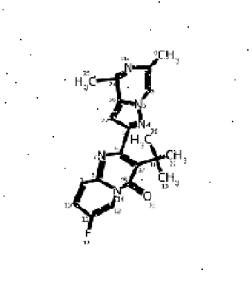 Cc1cn2nc(-c3nc4ccc(F)cn4c(=O)c3C(C)(C)C)cc2c(C)n1